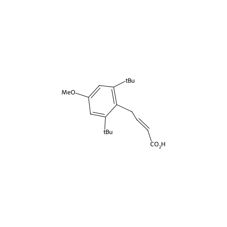 COc1cc(C(C)(C)C)c(CC=CC(=O)O)c(C(C)(C)C)c1